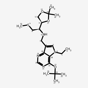 CCn1cc(CN[C@@H](CSC)[C@H]2COC(C)(C)O2)c2ncnc(OC(C)(C)C)c21